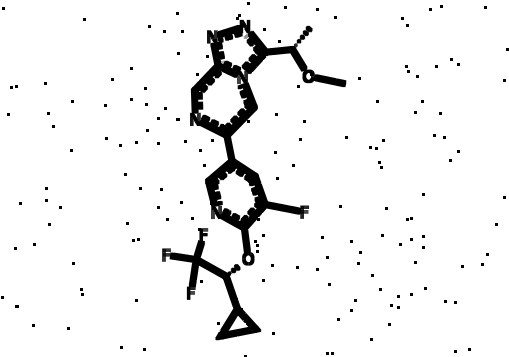 CO[C@@H](C)c1nnc2cnc(-c3cnc(O[C@H](C4CC4)C(F)(F)F)c(F)c3)cn12